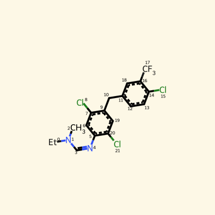 CCN(C)/C=N\c1cc(Cl)c(Cc2ccc(Cl)c(C(F)(F)F)c2)cc1Cl